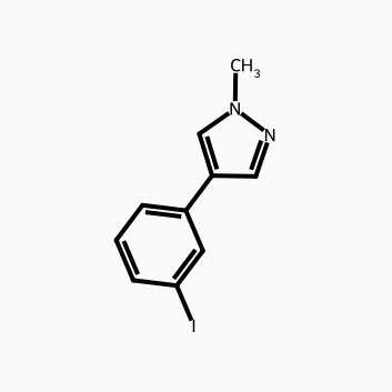 Cn1cc(-c2cccc(I)c2)cn1